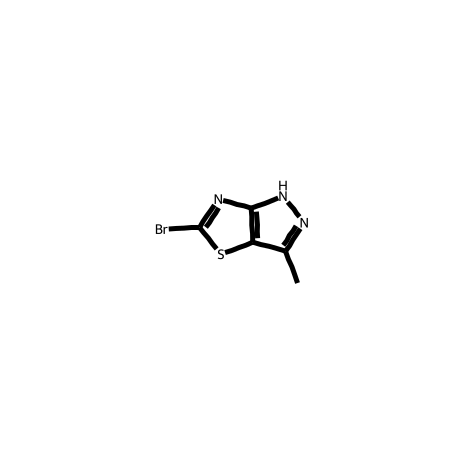 Cc1n[nH]c2nc(Br)sc12